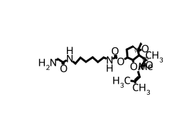 COC1C(OC(=O)NCCCCCCNC(=O)CN)CC[C@]2(CO2)C1[C@@]1(C)O[C@@H]1CC=C(C)C